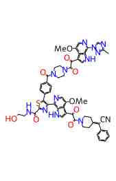 COc1cnc(-c2nc(C(=O)NCCO)sc2-c2ccc(C(=O)N3CCN(C(=O)C(=O)c4c[nH]c5c(-n6cnc(C)n6)ncc(OC)c45)CC3)cc2)c2[nH]cc(C(=O)C(=O)N3CCC(=C(C#N)c4ccccc4)CC3)c12